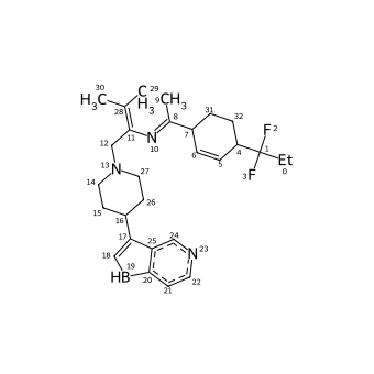 CCC(F)(F)C1C=CC(/C(C)=N/C(CN2CCC(C3=CBc4ccncc43)CC2)=C(C)C)CC1